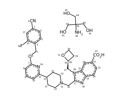 N#Cc1ccc(COc2cccc(C3CCN(Cc4nc5ccc(C(=O)O)cc5n4C[C@@H]4CCO4)CC3)n2)c(F)c1.NC(CO)(CO)CO